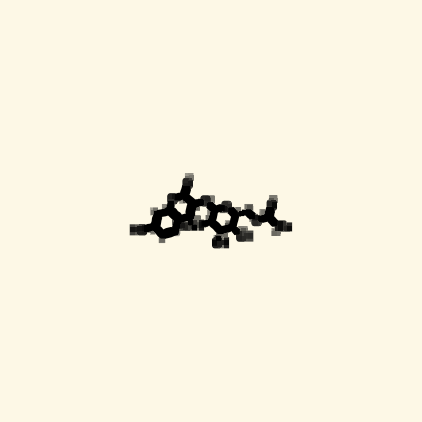 CC(=O)N[C@H]1C(Oc2cc3ccc(O)cc3oc2=O)O[C@H](COC(=O)C(C)(C)C)[C@@H](O)[C@@H]1O